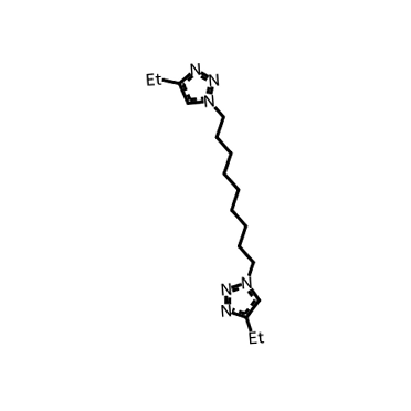 CCc1cn(CCCCCCCCCn2cc(CC)nn2)nn1